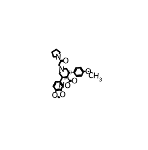 COc1ccc([C@H]2CN(CC(=O)N3CCCC3)CC(c3ccc4c(c3)OCO4)[C@@H]2C(=O)O)cc1